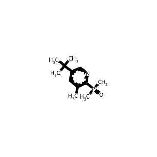 Cc1cc(C(C)(C)C)cnc1P(C)(C)=O